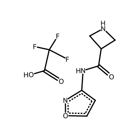 O=C(Nc1ccon1)C1CNC1.O=C(O)C(F)(F)F